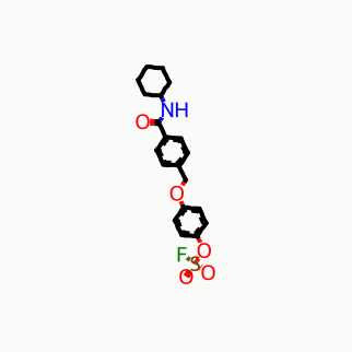 O=C(NC1CCCCC1)c1ccc(COc2ccc(OS(=O)(=O)F)cc2)cc1